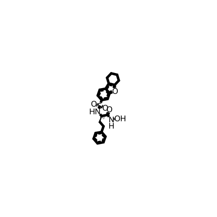 O=C(NO)[C@@H](CCc1ccccc1)NS(=O)(=O)c1ccc2c3c(oc2c1)CCCC3